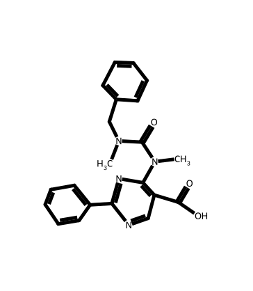 CN(Cc1ccccc1)C(=O)N(C)c1nc(-c2ccccc2)ncc1C(=O)O